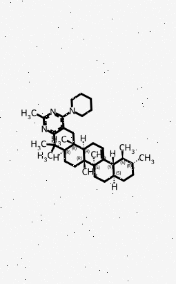 Cc1nc(N2CCCCC2)c2c(n1)C(C)(C)[C@@H]1CC[C@]3(C)[C@H](CC=C4[C@H]5[C@@H](CC[C@@H](C)[C@@H]5C)CC[C@]43C)[C@@]1(C)C2